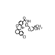 C=C[C@@]1(O)CCO[C@H]([C@@H]2CC[C@H]2CN2CC3(CCCc4cc(Cl)ccc43)COc3ccc(C(=O)O)cc32)C1